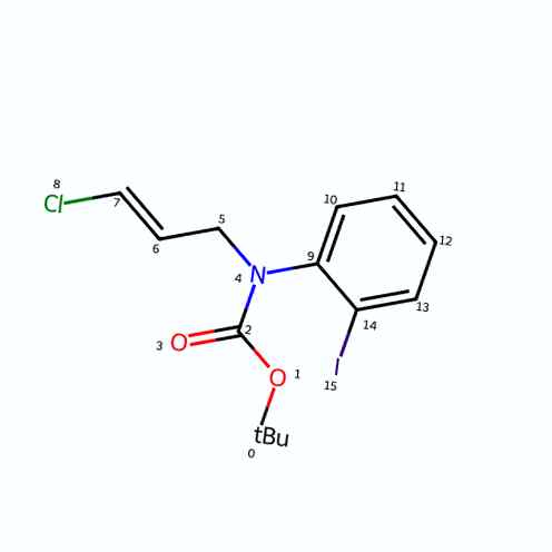 CC(C)(C)OC(=O)N(CC=CCl)c1ccccc1I